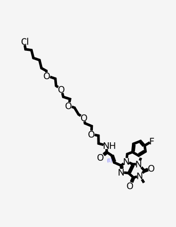 Cn1c(=O)c2nc(/C=C/C(=O)NCCOCCOCCOCCOCCOCCCCCCCl)n(Cc3ccc(F)cc3)c2n(C)c1=O